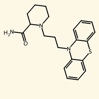 NC(=O)C1CCCCN1CCCN1c2ccccc2Sc2ccccc21